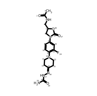 CC(=O)NCC1CN(c2ccc(N3CCC(=NNC(N)=O)CC3)c(F)c2)C(=O)O1